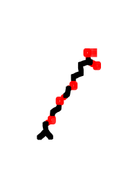 CC(C)COCCOCCOCCCC(=O)O